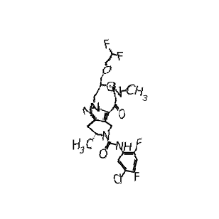 C[C@@H]1Cc2nn3c(c2CN1C(=O)Nc1cc(Cl)c(F)cc1F)C(=O)N(C)OC(COCC(F)F)C3